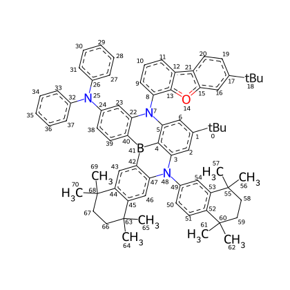 CC(C)(C)c1cc2c3c(c1)N(c1cccc4c1oc1cc(C(C)(C)C)ccc14)c1cc(N(c4ccccc4)c4ccccc4)ccc1B3c1cc3c(cc1N2c1ccc2c(c1)C(C)(C)CCC2(C)C)C(C)(C)CCC3(C)C